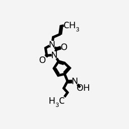 CC=CCN1CC(=O)N(c2ccc(C(CCC)=NO)cc2)C1=O